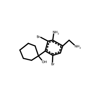 NCc1cc(Br)c(C2(O)CCCCC2)c(Br)c1N